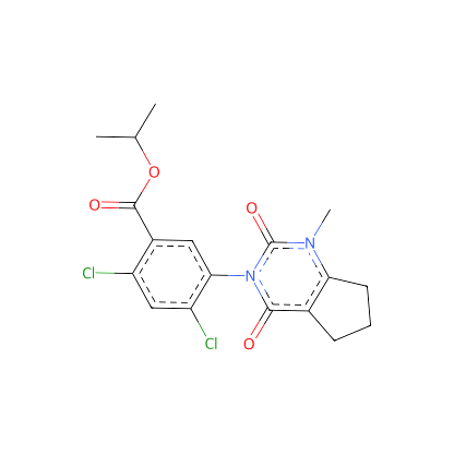 CC(C)OC(=O)c1cc(-n2c(=O)c3c(n(C)c2=O)CCC3)c(Cl)cc1Cl